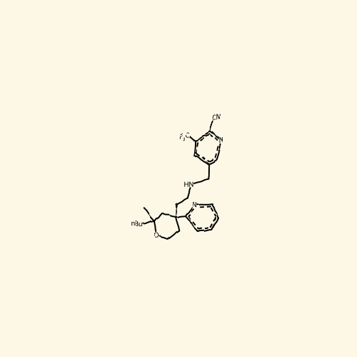 CCCCC1(C)C[C@](CCNCc2cnc(C#N)c(C(F)(F)F)c2)(c2ccccn2)CCO1